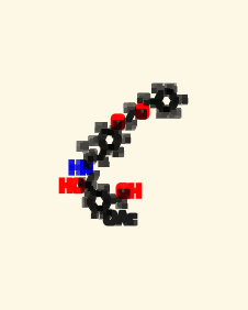 CC(=O)Oc1ccc([C@@H](O)CN[C@H](C)Cc2ccc(OCCOCc3ccccc3)cc2)cc1CO